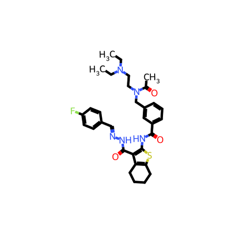 CCN(CC)CCN(Cc1cccc(C(=O)Nc2sc3c(c2C(=O)NN=Cc2ccc(F)cc2)CCCC3)c1)C(C)=O